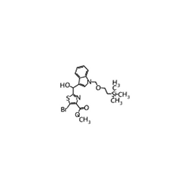 COC(=O)c1nc(C(O)c2cn(COCC[Si](C)(C)C)c3ccccc23)sc1Br